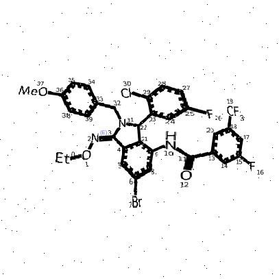 CCO/N=C1\c2cc(Br)cc(NC(=O)c3cc(F)cc(C(F)(F)F)c3)c2C(c2cc(F)ccc2Cl)N1Cc1ccc(OC)cc1